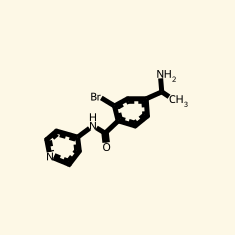 CC(N)c1ccc(C(=O)Nc2ccncc2)c(Br)c1